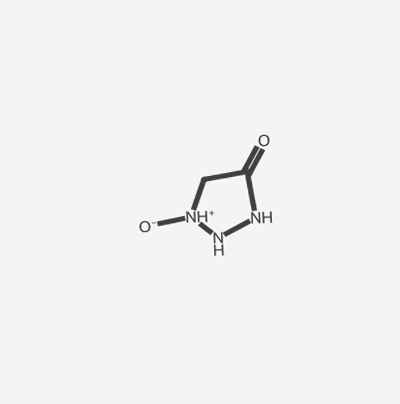 O=C1C[NH+]([O-])NN1